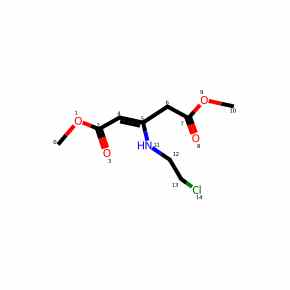 COC(=O)C=C(CC(=O)OC)NCCCl